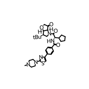 CN1CCN(c2nc(-c3ccc(C(=O)N[C@H](C(=O)N4C[C@@H](C(C)(C)C)[C@H]5OCC(=O)[C@H]54)C4CCCC4)cc3)cs2)CC1